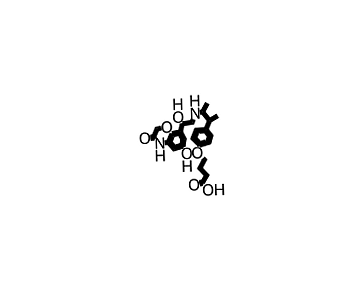 CC(NCC(O)c1cc(O)cc2c1OCC(=O)N2)C(C)c1ccc(OCCCC(=O)O)cc1